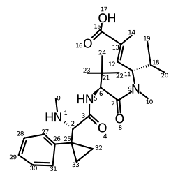 CN[C@H](C(=O)N[C@H](C(=O)N(C)[C@H](C=C(C)C(=O)O)C(C)C)C(C)(C)C)C1(c2ccccc2)CC1